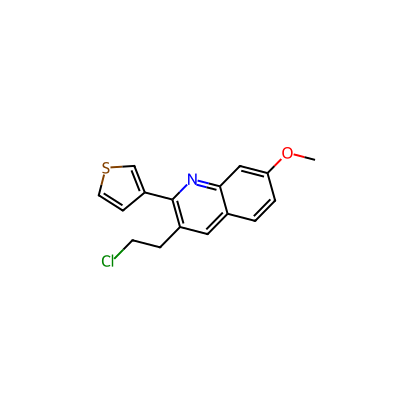 COc1ccc2cc(CCCl)c(-c3ccsc3)nc2c1